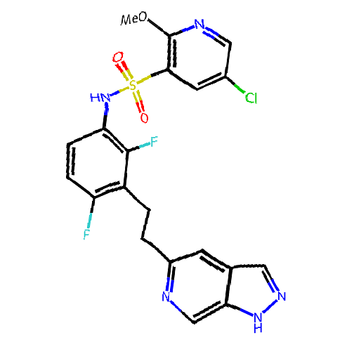 COc1ncc(Cl)cc1S(=O)(=O)Nc1ccc(F)c(CCc2cc3cn[nH]c3cn2)c1F